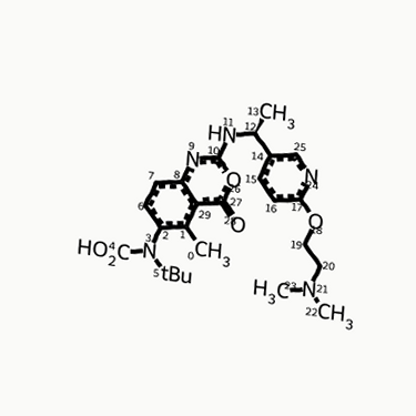 Cc1c(N(C(=O)O)C(C)(C)C)ccc2nc(N[C@@H](C)c3ccc(OCCN(C)C)nc3)oc(=O)c12